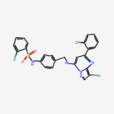 O=S(=O)(Nc1ccc(CNc2cc(-c3ccccc3Cl)nc3c(Br)cnn23)cc1)c1ccccc1Cl